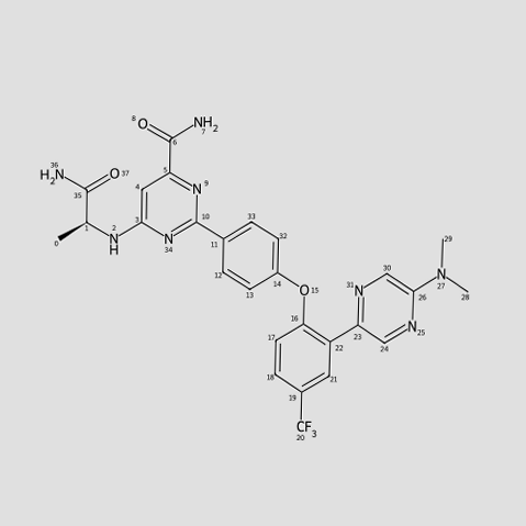 C[C@H](Nc1cc(C(N)=O)nc(-c2ccc(Oc3ccc(C(F)(F)F)cc3-c3cnc(N(C)C)cn3)cc2)n1)C(N)=O